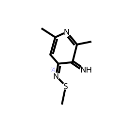 CS/N=C1/C=C(C)N=C(C)C1=N